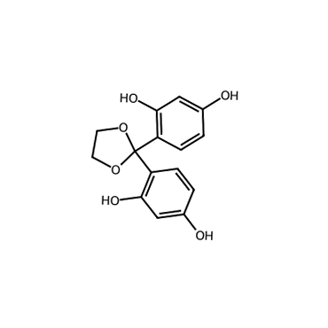 Oc1ccc(C2(c3ccc(O)cc3O)OCCO2)c(O)c1